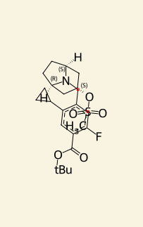 CC(C)(C)OC(=O)c1cc(C2CC2)c(CN2[C@@H]3CC[C@H]2C[C@H](OS(C)(=O)=O)C3)cc1F